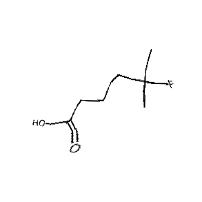 CC(C)(F)CCCC(=O)O